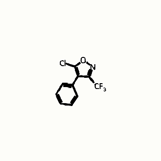 FC(F)(F)c1noc(Cl)c1-c1ccccc1